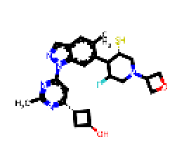 Cc1nc(-n2ncc3cc(C)c(C4C(F)CN(C5COC5)C[C@H]4S)cc32)cc([C@H]2C[C@H](O)C2)n1